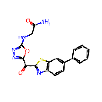 NC(=O)CNc1nnc(C(=O)c2nc3ccc(-c4ccccc4)cc3s2)o1